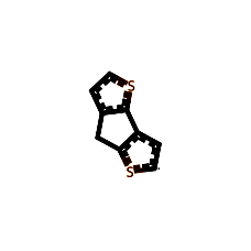 [c]1cc2c(s1)Cc1ccsc1-2